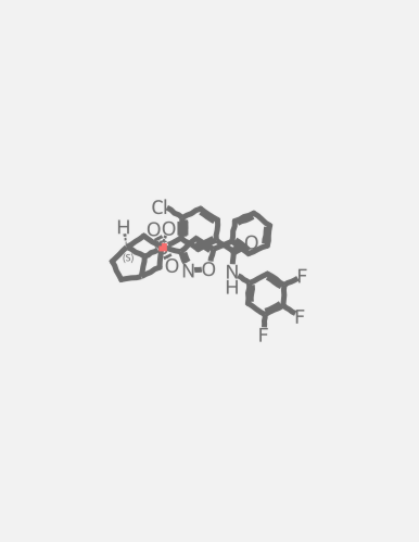 O=C(Nc1cc(F)c(F)c(F)c1)c1ccc(Cl)c(S(=O)(=O)C2C3CC[C@H]2C[C@@](O)(c2cc(-c4ccccc4)on2)C3)c1